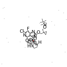 C[C@@H]1Oc2nc(Cl)c(F)c3nc(OCC4(CO[Si](C)(C)C(C)(C)C)CC4)nc(c23)N2C[C@H]3CC[C@@H]([C@@H]12)N3C(=O)OC(C)(C)C